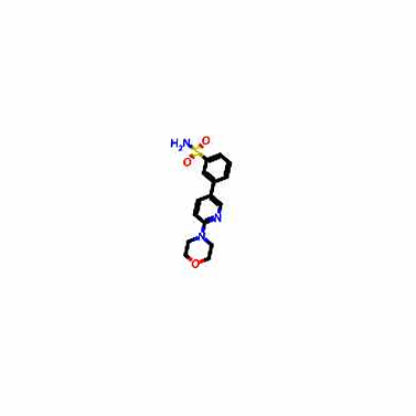 NS(=O)(=O)c1cccc(-c2ccc(N3CCOCC3)nc2)c1